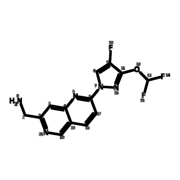 NCc1cc2nc(-n3cc(F)c(OC(F)F)n3)ccc2cn1